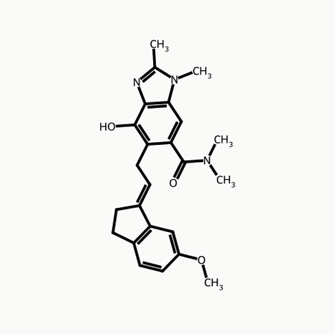 COc1ccc2c(c1)C(=CCc1c(C(=O)N(C)C)cc3c(nc(C)n3C)c1O)CC2